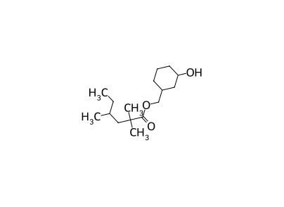 CCC(C)CC(C)(C)C(=O)OCC1CCCC(O)C1